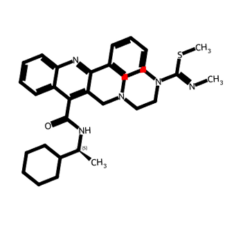 CN=C(SC)N1CCN(Cc2c(-c3ccccc3)nc3ccccc3c2C(=O)N[C@@H](C)C2CCCCC2)CC1